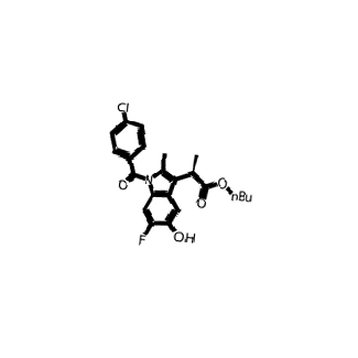 CCCCOC(=O)[C@H](C)c1c(C)n(C(=O)c2ccc(Cl)cc2)c2cc(F)c(O)cc12